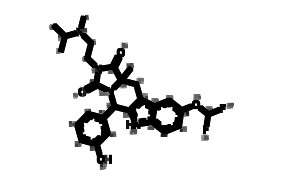 CC(C)N(C)CCN1C(=O)N2C(c3cccc(O)c3)c3[nH]c4ccc(OC(F)F)cc4c3CC2(C)C1=O